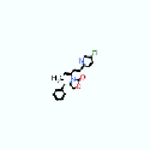 CC=C(/C=C/c1ccc(Cl)cn1)N1C(=O)OC[C@@H]1Cc1ccccc1